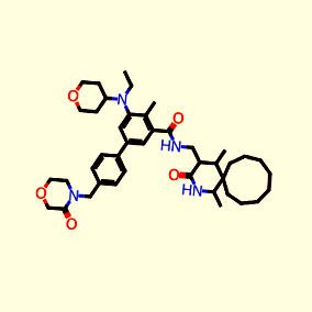 CCN(c1cc(-c2ccc(CN3CCOCC3=O)cc2)cc(C(=O)NCC2C(=O)NC(C)C3(CCCCCCCC3)C2C)c1C)C1CCOCC1